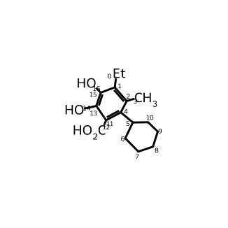 CCc1c(C)c(C2CCCCC2)c(C(=O)O)c(O)c1O